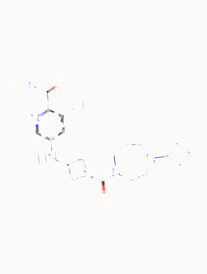 Cc1cc(NC2CN(C(=O)N3CCCN(C4CCC4)CC3)C2)cnc1C(N)=O